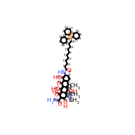 C[C@H]1c2ccc(NC(=O)CCCCCCCCCC[PH](C3CCCCC3)(C3CCCCC3)C3CCCCC3)c(O)c2C(=O)C2=C(O)[C@]3(O)C(=O)C(C(N)=O)=C(O)[C@@H](N(C)C)[C@@H]3[C@@H](O)[C@@H]21